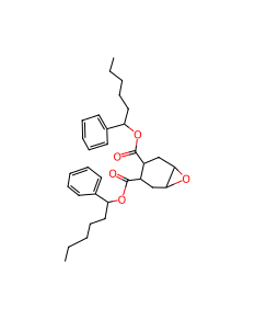 CCCCCC(OC(=O)C1CC2OC2CC1C(=O)OC(CCCCC)c1ccccc1)c1ccccc1